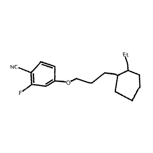 CCC1CCCCC1CCCOc1ccc(C#N)c(F)c1